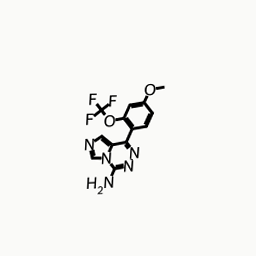 COc1ccc(-c2nnc(N)n3cncc23)c(OC(F)(F)F)c1